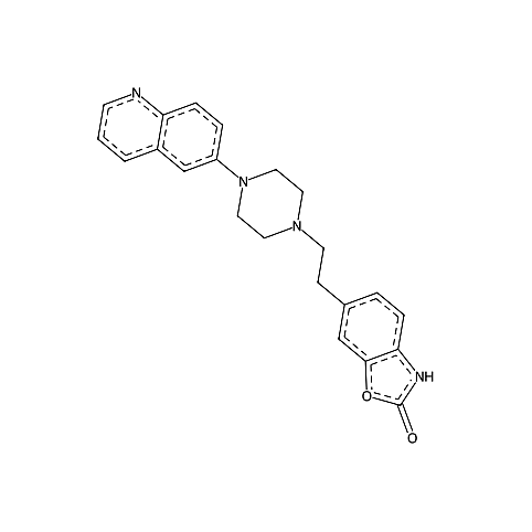 O=c1[nH]c2ccc(CCN3CCN(c4ccc5ncccc5c4)CC3)cc2o1